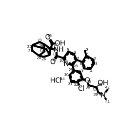 Cc1ccccc1-c1ccc(C(=O)NC2(C(=O)O)C3CC4CC(C3)CC2C4)nc1-c1ccc(Cl)c(OC[C@H](O)CN(C)C)c1.Cl